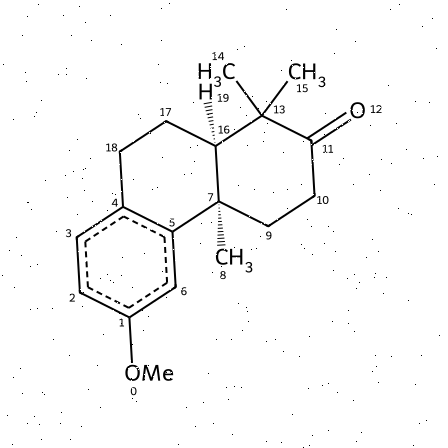 COc1ccc2c(c1)[C@]1(C)CCC(=O)C(C)(C)[C@@H]1CC2